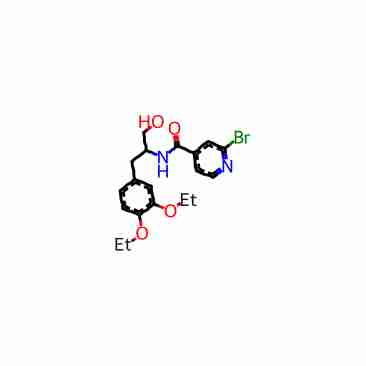 CCOc1ccc(CC(CO)NC(=O)c2ccnc(Br)c2)cc1OCC